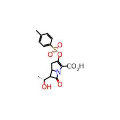 Cc1ccc(S(=O)(=O)OC2=C(C(=O)O)N3C(=O)C([C@@H](C)O)C3C2)cc1